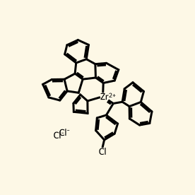 Clc1ccc([C](c2cccc3ccccc23)=[Zr+2]([c]2cccc3c2c2c(c4ccccc43)-c3ccccc3C2)[CH]2C=CC=C2)cc1.[Cl-].[Cl-]